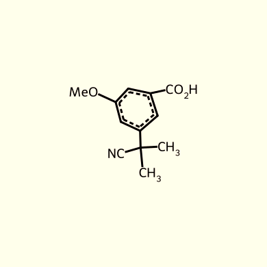 COc1cc(C(=O)O)cc(C(C)(C)C#N)c1